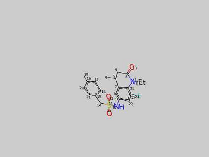 CCN1C(=O)CC(C)c2cc(NS(=O)(=O)Cc3ccc(C)cc3)cc(F)c21